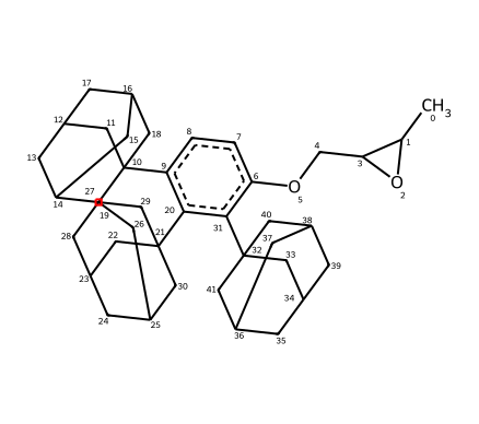 CC1OC1COc1ccc(C23CC4CC(CC(C4)C2)C3)c(C23CC4CC(CC(C4)C2)C3)c1C12CC3CC(CC(C3)C1)C2